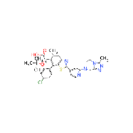 Cc1cc2nc(-c3ccnc(N4CCn5c(C)nnc5C4)c3)sc2c(-c2ccc(Cl)cc2)c1[C@H](OC(C)(C)C)C(=O)O